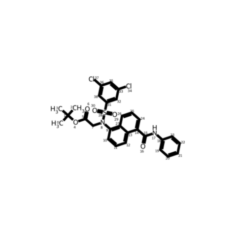 CC(C)(C)OC(=O)CN(c1cccc2c(C(=O)Nc3ccccc3)cccc12)S(=O)(=O)c1cc(Cl)cc(Cl)c1